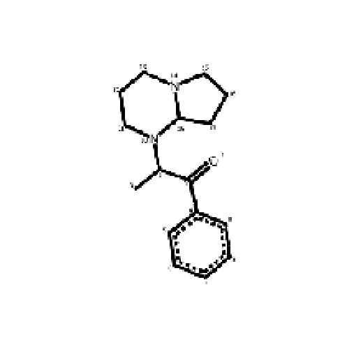 CC(C(=O)c1ccccc1)N1CCCN2CCCC21